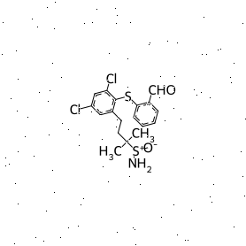 CC(C)(CCc1cc(Cl)cc(Cl)c1Sc1ccccc1C=O)[S+](N)[O-]